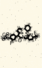 CS(=O)(=O)Nc1ccc(C(C(=O)NCc2ccc(C(F)(F)F)nc2SC2CCCCC2)c2cccs2)cc1F